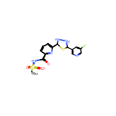 CC(C)(C)S(=O)(=O)NC(=O)c1cccc(C2NNC(c3cncc(F)c3)S2)n1